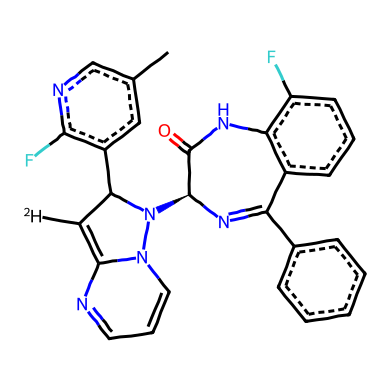 [2H]C1=C2N=CC=CN2N([C@@H]2N=C(c3ccccc3)c3cccc(F)c3NC2=O)C1c1cc(C)cnc1F